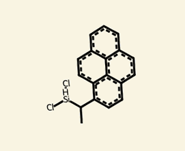 CC(c1ccc2ccc3cccc4ccc1c2c34)[SiH](Cl)Cl